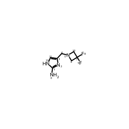 Nc1nc(CN2CC(F)(F)C2)c[nH]1